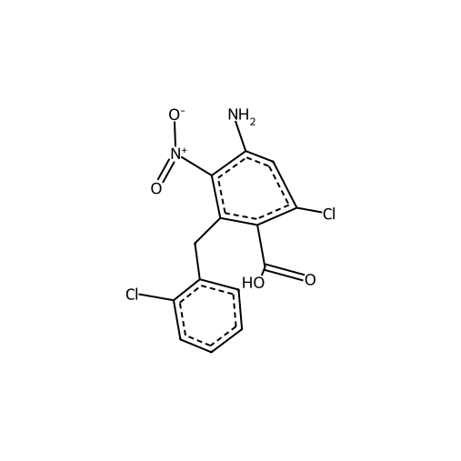 Nc1cc(Cl)c(C(=O)O)c(Cc2ccccc2Cl)c1[N+](=O)[O-]